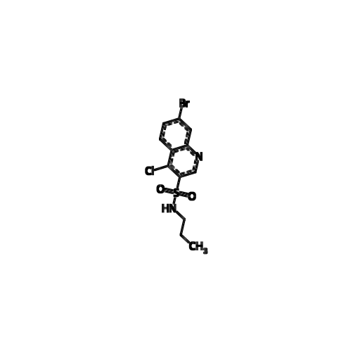 CCCNS(=O)(=O)c1cnc2cc(Br)ccc2c1Cl